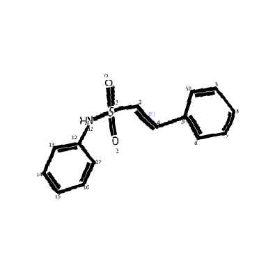 O=S(=O)(/C=C/c1ccccc1)Nc1ccccc1